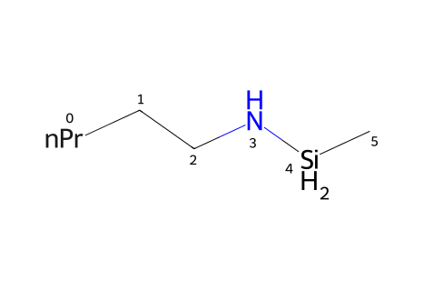 CCCCCN[SiH2]C